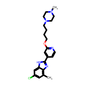 Cc1cc(Cl)cc2[nH]c(-c3ccnc(OCCCCN4CCN(C)CC4)c3)nc12